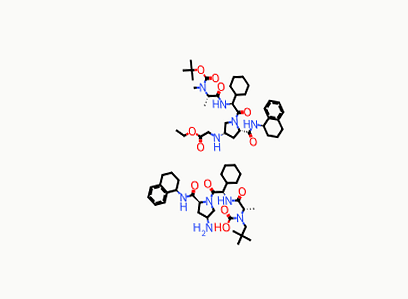 CCOC(=O)CN[C@H]1C[C@@H](C(=O)N[C@@H]2CCCc3ccccc32)N(C(=O)[C@@H](NC(=O)[C@H](C)N(C)C(=O)OC(C)(C)C)C2CCCCC2)C1.C[C@@H](C(=O)N[C@H](C(=O)N1C[C@@H](N)C[C@H]1C(=O)N[C@@H]1CCCc2ccccc21)C1CCCCC1)N(CC(C)(C)C)C(=O)O